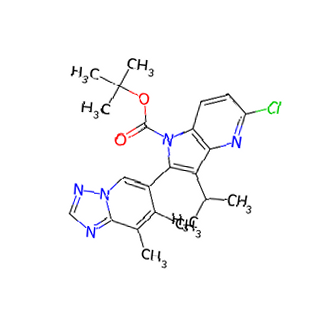 Cc1c(-c2c(C(C)C)c3nc(Cl)ccc3n2C(=O)OC(C)(C)C)cn2ncnc2c1C